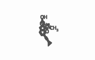 CN1C=NC2(C1=O)c1cc(C#CC3CC3)ccc1CC21CCC(O)CC1